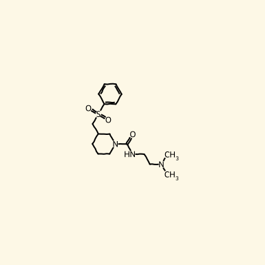 CN(C)CCNC(=O)N1CCCC(CS(=O)(=O)c2ccccc2)C1